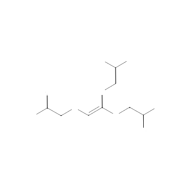 CC(O)COC=C(OCC(C)O)OCC(C)O